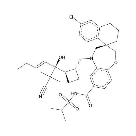 CC/C=C/[C@](O)([C@@H]1CC[C@H]1CN1C[C@@]2(CCCc3cc(Cl)ccc32)COc2ccc(C(=O)NS(=O)(=O)C(C)C)cc21)C(C)(C)C#N